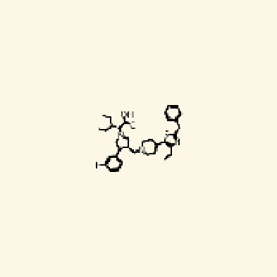 CCc1nc(Cc2ccccc2)sc1C1CCN(CC2CN([C@H](C(=O)O)C(CC)CC)CC2c2cccc(F)c2)CC1